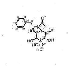 O=C1C[C@]2([C@H](O)[C@H](O)[C@@](O)(CO)[C@@H](O)[C@H]2O)N1OCc1ccccc1